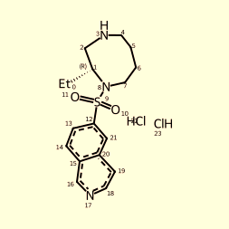 CC[C@@H]1CNCCCCN1S(=O)(=O)c1ccc2cnccc2c1.Cl.Cl